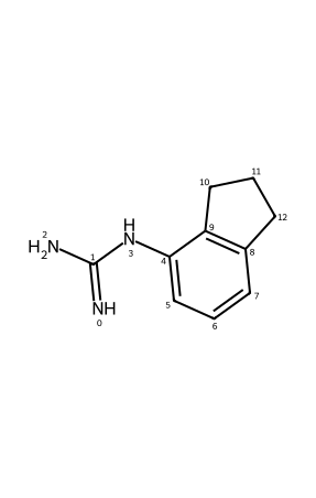 N=C(N)Nc1cccc2c1CCC2